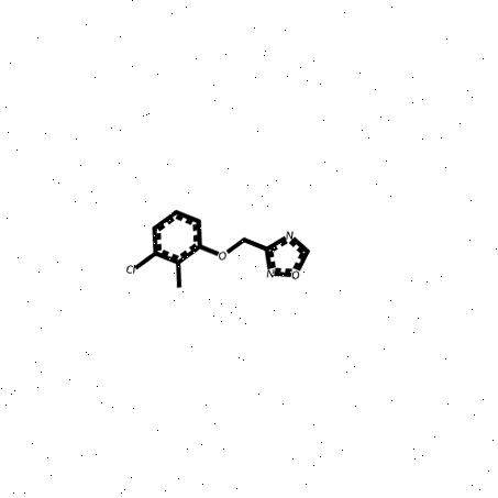 Cc1c(Cl)cccc1OCc1ncon1